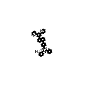 CC1(c2nc(-c3ccccc3)nc(-c3ccc(-c4cccc5c(-c6cc(-c7ccccn7)cc(-c7ccccn7)c6)cccc45)cc3)n2)C=CC=CC1